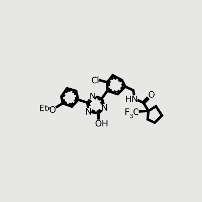 CCOc1cccc(-c2nc(O)nc(-c3cc(CNC(=O)C4(C(F)(F)F)CCCC4)ccc3Cl)n2)c1